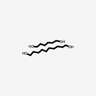 OCCCCCCCCCCO.OCCCCCCO